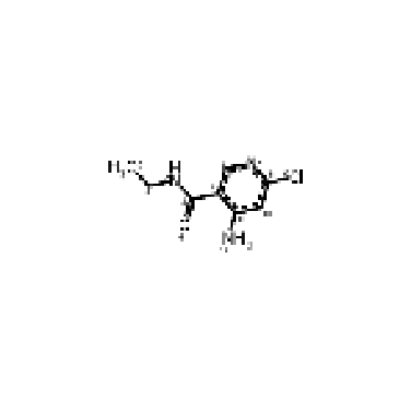 CCNC(=O)c1cnc(Cl)cc1N